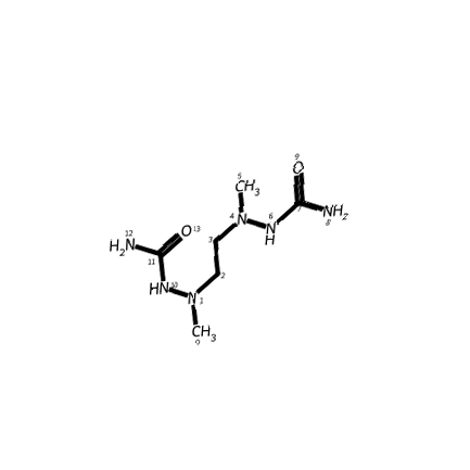 CN(CCN(C)NC(N)=O)NC(N)=O